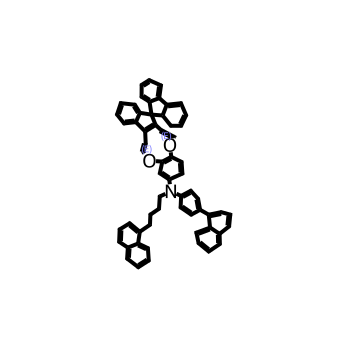 C1=CCC2C(=C1)c1ccccc1C21C2=C(/C=C/Oc3cc(N(CCCCc4cccc5ccccc45)c4ccc(-c5cccc6ccccc56)cc4)ccc3O/C=C/2)c2ccccc21